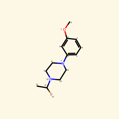 COc1cccc(N2CCN(C(C)[S])CC2)c1